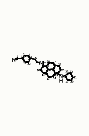 N#Cc1ccc(CCNc2ccc3ccc4c(Nc5ccccc5)ccc5ccc2c3c54)cc1